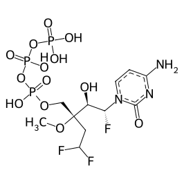 CO[C@@](COP(=O)(O)OP(=O)(O)OP(=O)(O)O)(CC(F)F)[C@@H](O)[C@@H](F)n1ccc(N)nc1=O